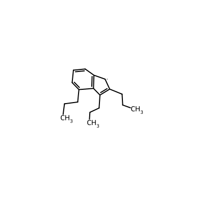 CCCC1=C(CCC)c2c(cccc2CCC)[CH]1